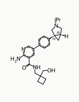 CC(C)N1C[C@@H]2C[C@]2(c2ccc(-c3cnc(N)c(C(=O)NCC4(CO)CCC4)c3)cc2)C1